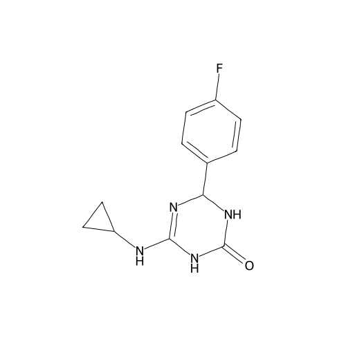 O=C1NC(NC2CC2)=NC(c2ccc(F)cc2)N1